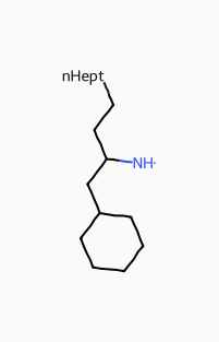 CCCCCCCCCC([NH])CC1CCCCC1